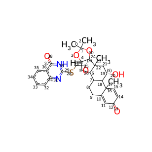 CC1(C)O[C@@H]2CC3C4CCC5=CC(=O)C=CC5(C)C4[C@@H](O)CC3(C)[C@]2(C(=O)CSc2nc3ccccc3c(=O)[nH]2)O1